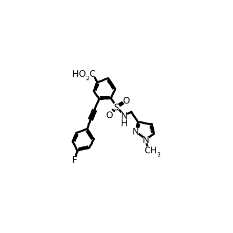 Cn1ccc(CNS(=O)(=O)c2ccc(C(=O)O)cc2C#Cc2ccc(F)cc2)n1